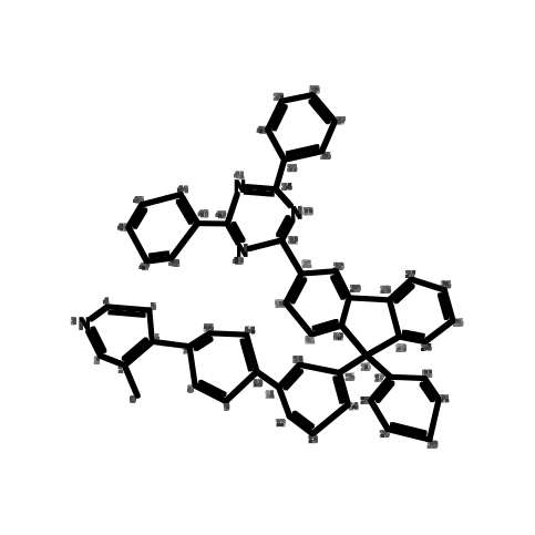 Cc1cnccc1-c1ccc(-c2cccc(C3(c4ccccc4)c4ccccc4-c4cc(-c5nc(-c6ccccc6)nc(-c6ccccc6)n5)ccc43)c2)cc1